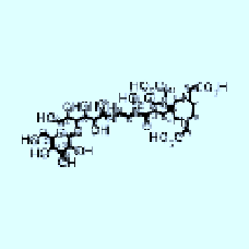 O=C(O)CN1CCN(CC(=O)O)CC(CCC(=O)NCCNC(=O)C(O)C(O)C(OC2OC(CO)C(O)C(O)C2O)C(O)CO)(N(CC(=O)O)CC(=O)O)C1